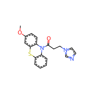 COc1ccc2c(c1)Sc1ccccc1N2C(=O)CCn1ccnc1